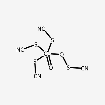 N#CS[O][Co](=[O])([S]C#N)([S]C#N)[S]C#N